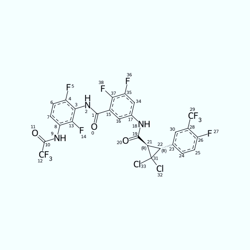 O=C(Nc1c(F)ccc(NC(=O)C(F)(F)F)c1F)c1cc(NC(=O)[C@H]2[C@H](c3ccc(F)c(C(F)(F)F)c3)C2(Cl)Cl)cc(F)c1F